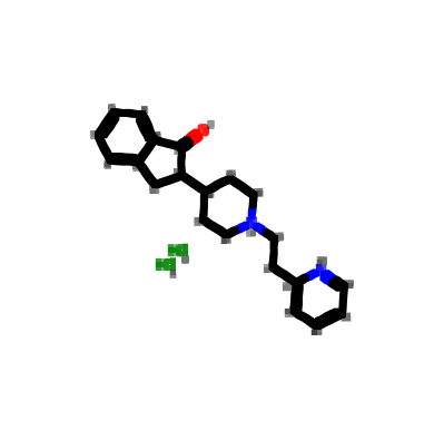 Cl.Cl.O=C1c2ccccc2CC1C1CCN(CCc2ccccn2)CC1